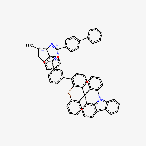 C\C1=C(c2ccccc2)/N=C(c2ccc(-c3ccccc3)cc2)\N=C(\c2cccc(-c3cccc4c3Sc3ccccc3C43c4ccccc4-n4c5ccccc5c5cccc3c54)c2)CC1